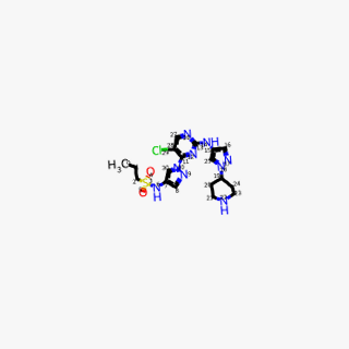 CCCS(=O)(=O)Nc1cnn(-c2nc(Nc3cnn(C4CCNCC4)c3)ncc2Cl)c1